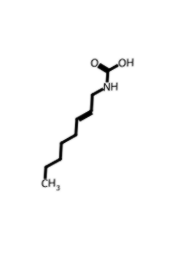 CCCCC/C=C/CNC(=O)O